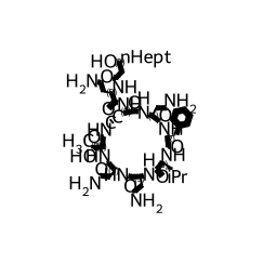 CCCCCCC[C@@H](O)CC(=O)N[C@H](CCN)C(=O)N[C@H]1CCNC(=O)[C@H]([C@@H](C)O)NC(=O)[C@H](CCN)NC(=O)[C@H](CCN)NC(=O)[C@H](CC(C)C)NC(=O)[C@@H](Cc2ccccc2)NC(=O)[C@H](CCN)NC1=O